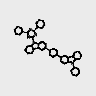 c1ccc(-c2nc(-c3ccccc3)nc(-n3c4ccccc4c4cc(-c5ccc(-c6ccc7c(c6)c6ccccc6n7-c6ccccc6)cc5)ccc43)n2)cc1